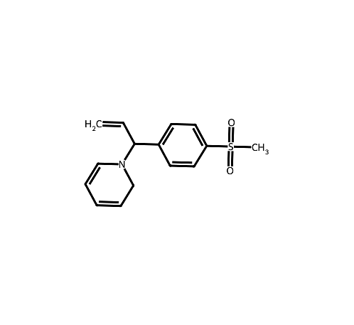 C=CC(c1ccc(S(C)(=O)=O)cc1)N1C=CC=CC1